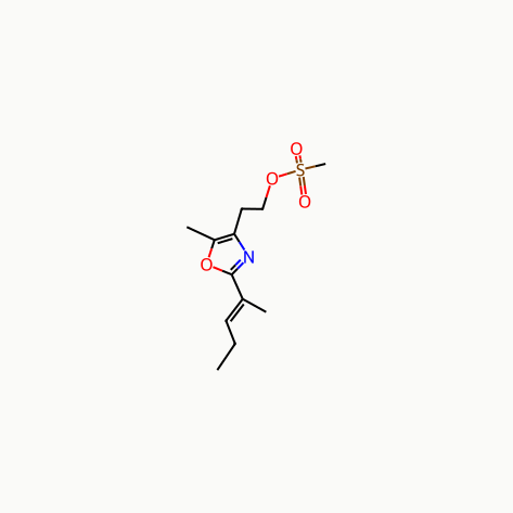 CC/C=C(\C)c1nc(CCOS(C)(=O)=O)c(C)o1